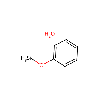 O.[SiH3]Oc1ccccc1